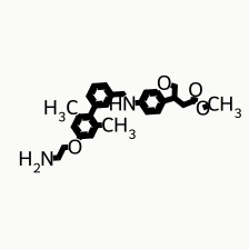 COC(=O)CC1COc2cc(NCc3cccc(-c4c(C)cc(OCCN)cc4C)c3)ccc21